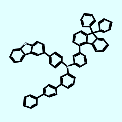 c1ccc(-c2ccc(-c3cccc(N(c4ccc(-c5ccc6oc7ccccc7c6c5)cc4)c4cccc(-c5cccc6c5-c5ccccc5C6(c5ccccc5)c5ccccc5)c4)c3)cc2)cc1